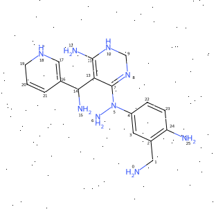 NCc1cc(N(N)C2=NCNC(N)=C2C(N)C2=CNCC=C2)ccc1N